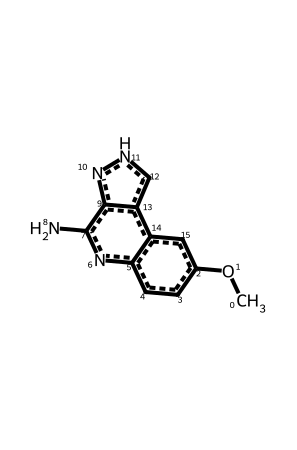 COc1ccc2nc(N)c3n[nH]cc3c2c1